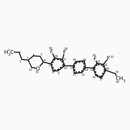 CCCC1CCC(c2ccc(-c3ccc(-c4ccc(CC)c(F)c4F)cc3)c(F)c2F)OC1